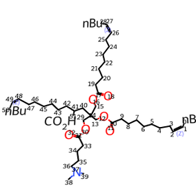 CCCC/C=C\CCCCCCCC(=O)OCC(COC(=O)CCCCCCC/C=C\CCCC)(COC(=O)CCCCN(C)C)CC(CCCCCC/C=C\CCCC)C(=O)O